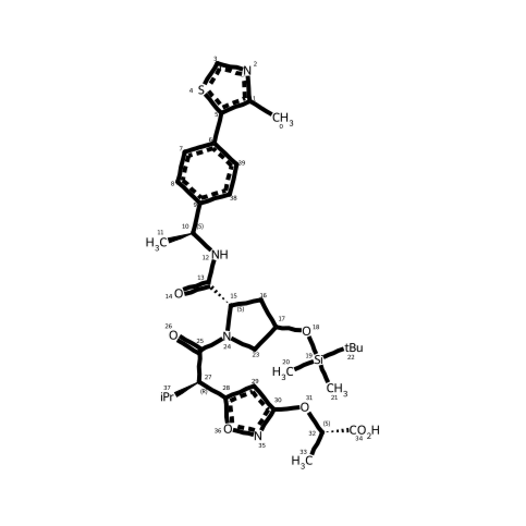 Cc1ncsc1-c1ccc([C@H](C)NC(=O)[C@@H]2CC(O[Si](C)(C)C(C)(C)C)CN2C(=O)[C@@H](c2cc(O[C@@H](C)C(=O)O)no2)C(C)C)cc1